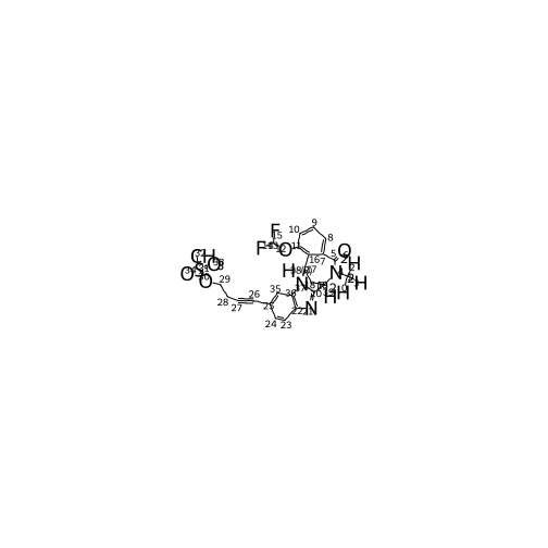 [2H]C([2H])([2H])N1C(=O)c2cccc(OC(F)F)c2[C@H]2C[C@@H]1c1nc3ccc(C#CCCOS(C)(=O)=O)cc3n12